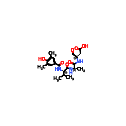 Cc1cc(C(=O)N[C@H](C(=O)N[C@@H](C)C(=O)N[C@H](C=O)CC(=O)O)C(C)C)cc(C)c1O